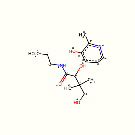 CC(C)(CO)C(O)C(=O)NCCC(=O)O.Cc1ncccc1O